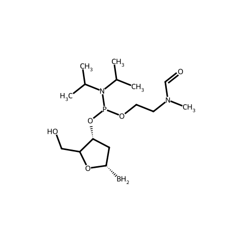 B[C@H]1C[C@@H](OP(OCCN(C)C=O)N(C(C)C)C(C)C)C(CO)O1